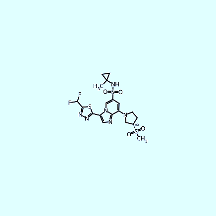 CC1(NS(=O)(=O)c2cc(N3CC[C@H](S(C)(=O)=O)C3)c3ncc(-c4nnc(C(F)F)s4)n3c2)CC1